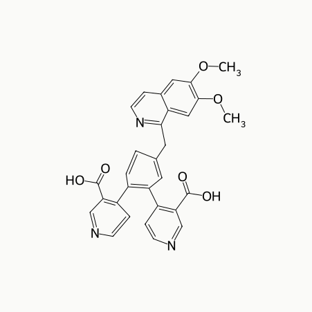 COc1cc2ccnc(Cc3ccc(-c4ccncc4C(=O)O)c(-c4ccncc4C(=O)O)c3)c2cc1OC